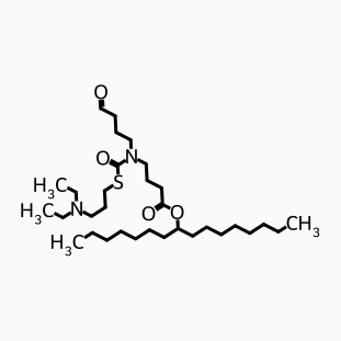 CCCCCCCCC(CCCCCCC)OC(=O)CCCN(CCCC=O)C(=O)SCCCN(CC)CC